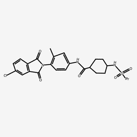 Cc1cc(NC(=O)C2CCC(NS(=O)(=O)C(C)C)CC2)ccc1N1C(=O)c2ccc(Cl)cc2C1=O